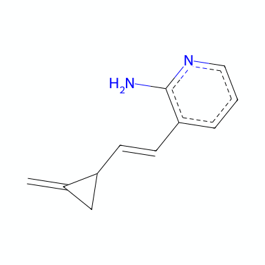 C=C1CC1/C=C/c1cccnc1N